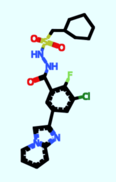 O=C(NNS(=O)(=O)CC1CCCCC1)c1cc(-c2cn3ccccc3n2)cc(Cl)c1F